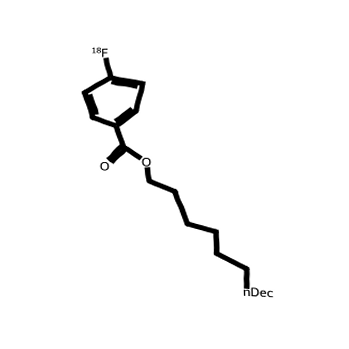 CCCCCCCCCCCCCCCCOC(=O)c1ccc([18F])cc1